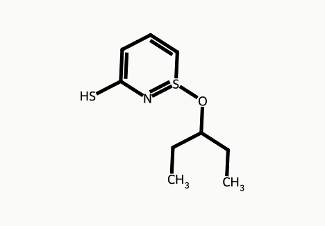 CCC(CC)OS1=NC(S)=CC=C1